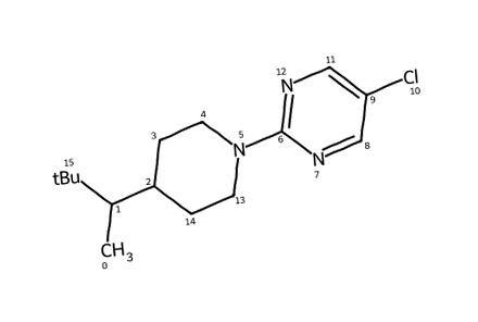 CC(C1CCN(c2ncc(Cl)cn2)CC1)C(C)(C)C